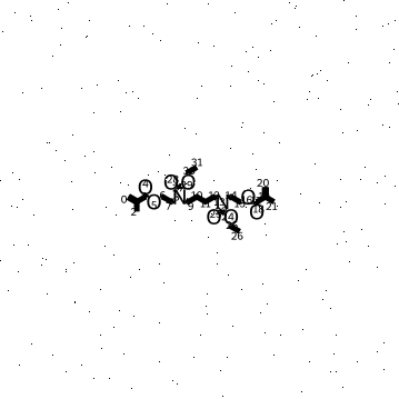 C=C(C)C(=O)OCCN(CCCCN(CCOC(=O)C(=C)C)C(=O)OCC)C(=O)OCC